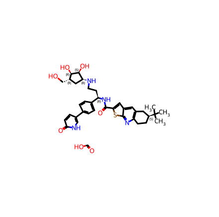 CC(C)(C)[C@H]1CCc2nc3sc(C(=O)N[C@H](CCN[C@@H]4C[C@H](CO)[C@@H](O)[C@H]4O)c4ccc(-c5ccc(=O)[nH]c5)cc4)cc3cc2C1.O=CO